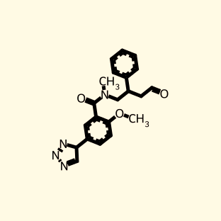 COc1ccc(C2C=NN=N2)cc1C(=O)N(C)CC(CC=O)c1ccccc1